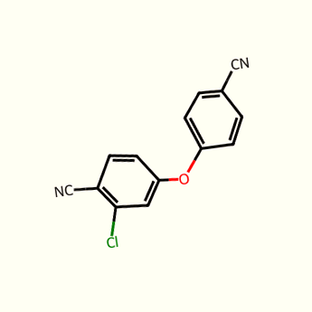 N#Cc1ccc(Oc2ccc(C#N)c(Cl)c2)cc1